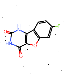 O=c1[nH]c(=O)c2oc3cc(F)ccc3c2[nH]1